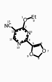 CCOc1nc(C2=COCO2)ncc1C#N